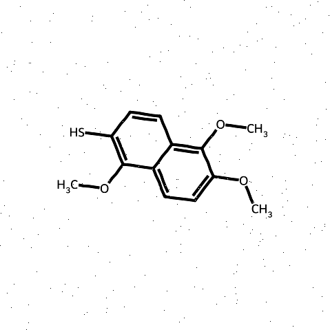 COc1ccc2c(OC)c(S)ccc2c1OC